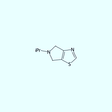 CC(C)N1Cc2ncsc2C1